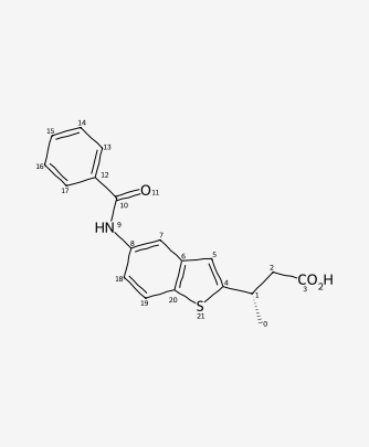 C[C@@H](CC(=O)O)c1cc2cc(NC(=O)c3ccccc3)ccc2s1